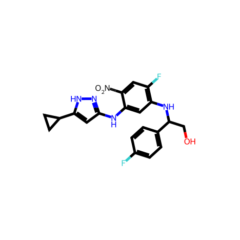 O=[N+]([O-])c1cc(F)c(NC(CO)c2ccc(F)cc2)cc1Nc1cc(C2CC2)[nH]n1